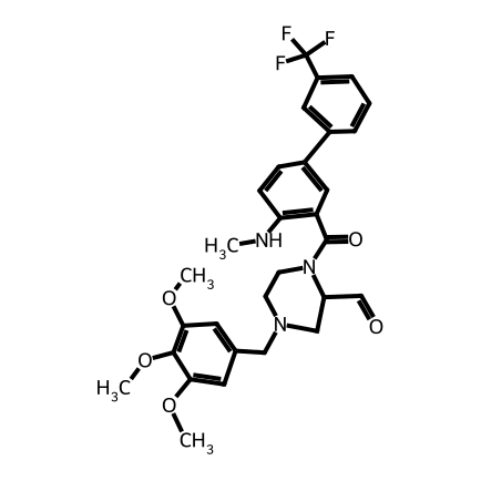 CNc1ccc(-c2cccc(C(F)(F)F)c2)cc1C(=O)N1CCN(Cc2cc(OC)c(OC)c(OC)c2)CC1C=O